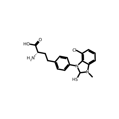 CN1c2cccc(Cl)c2N(c2ccc(CC[C@H](N)C(=O)O)cc2)C1S